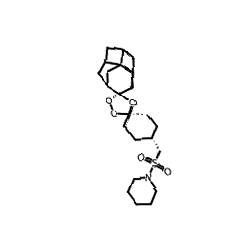 O=S(=O)(C[C@H]1CC[C@]2(CC1)OO[C@]1(O2)C2CC3CC4CC1CC34C2)N1CCCCC1